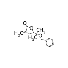 C=C1CC(C(C)(C)OCc2ccccc2)OC1=O